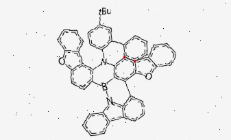 CC(C)(C)c1ccc(N2c3cc4c(oc5ccccc54)c4c3B(c3ccc5oc6ccccc6c5c32)n2c3ccccc3c3cccc-4c32)c(-c2ccccc2)c1